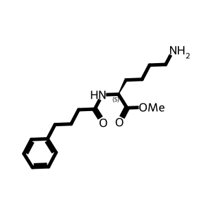 COC(=O)[C@H](CCCCN)NC(=O)CCCc1ccccc1